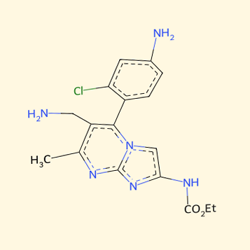 CCOC(=O)Nc1cn2c(-c3ccc(N)cc3Cl)c(CN)c(C)nc2n1